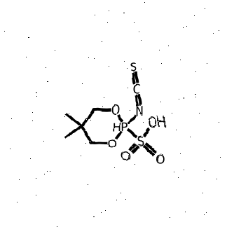 CC1(C)CO[PH](N=C=S)(S(=O)(=O)O)OC1